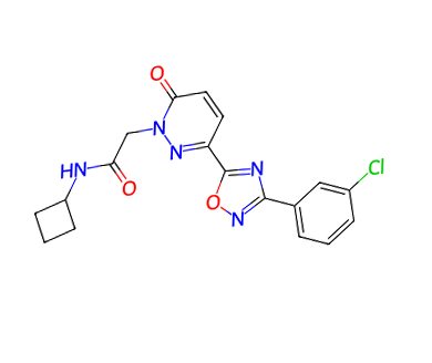 O=C(Cn1nc(-c2nc(-c3cccc(Cl)c3)no2)ccc1=O)NC1CCC1